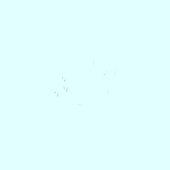 CO[C@@H](C)C(C)CCC(C)n1nccn1